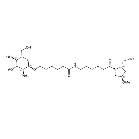 CO[C@@H]1C[C@@H](CO)N(C(=O)CCCCCNC(=O)CCCCCO[C@@H]2OC(CO)[C@H](O)C(O)[C@@H]2N)C1